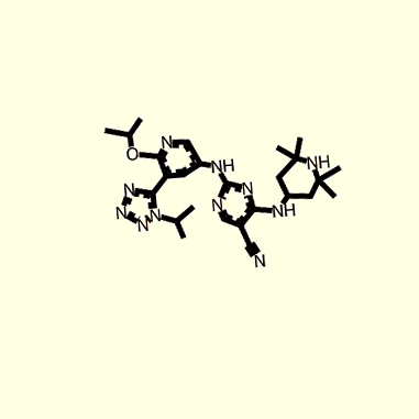 CC(C)Oc1ncc(Nc2ncc(C#N)c(NC3CC(C)(C)NC(C)(C)C3)n2)cc1-c1nnnn1C(C)C